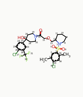 Cc1cc(S(=O)(=O)N2CCCCC2COCC(=O)N2CCC(O)(c3ccc(Cl)c(C(F)(F)F)c3)CC2)c(C)cc1Cl